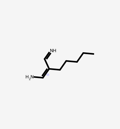 CCCCC/C(C=N)=C/N